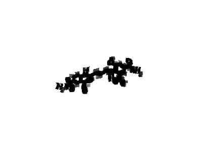 COc1cc(C(N)=O)cc([N+](=O)[O-])c1NCC=CCNc1ccc(S(N)(=O)=O)cc1[N+](=O)[O-]